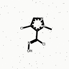 Cn1ncc(Cl)c1C(Cl)=NO